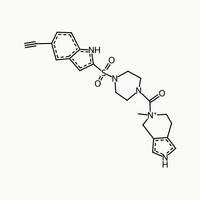 C#Cc1ccc2[nH]c(S(=O)(=O)N3CCN(C(=O)[N+]4(C)CCc5c[nH]cc5C4)CC3)cc2c1